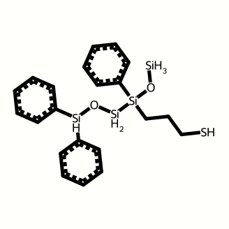 [SiH3]O[Si](CCCS)([SiH2]O[SiH](c1ccccc1)c1ccccc1)c1ccccc1